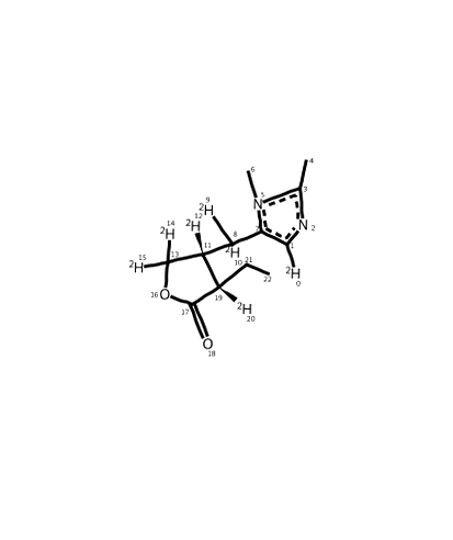 [2H]c1nc(C)n(C)c1C([2H])([2H])[C@@]1([2H])C([2H])([2H])OC(=O)[C@@]1([2H])CC